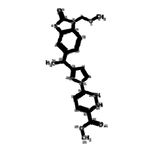 COCn1c(=O)sc2cc(C(C)c3ccn(C4=CC=C(C(=O)OC)NN4)n3)ccc21